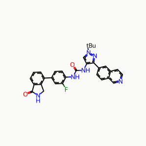 CC(C)(C)n1cc(NC(=O)Nc2ccc(-c3cccc4c3CNC4=O)cc2F)c(-c2ccc3cnccc3c2)n1